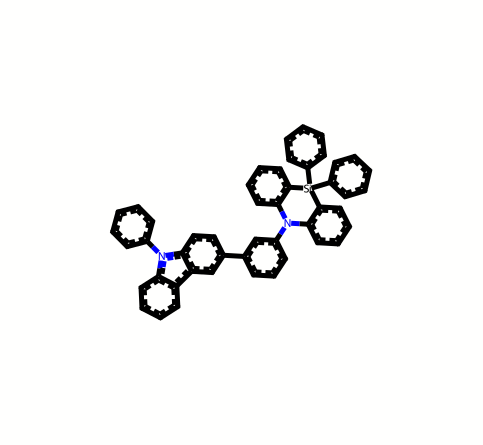 c1ccc(-n2c3ccccc3c3cc(-c4cccc(N5c6ccccc6[Si](c6ccccc6)(c6ccccc6)c6ccccc65)c4)ccc32)cc1